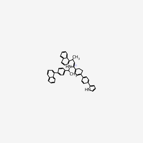 CC(/C=C(\NC(C)c1ccc(-c2cccc3ccccc23)cc1)C1=CC=C(c2ccc(-c3ccc[nH]3)cc2)CC1)c1cccc2ccccc12